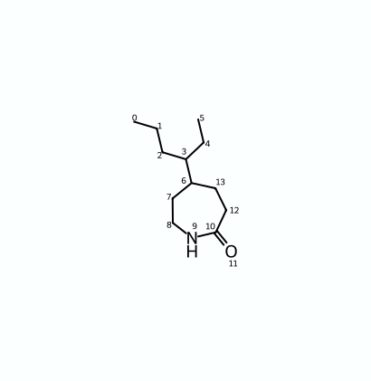 CCCC(CC)C1CCNC(=O)CC1